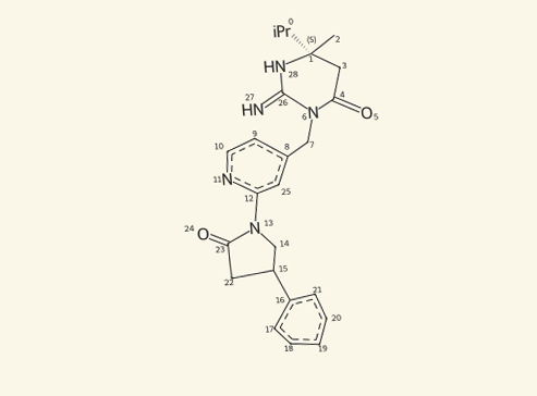 CC(C)[C@]1(C)CC(=O)N(Cc2ccnc(N3CC(c4ccccc4)CC3=O)c2)C(=N)N1